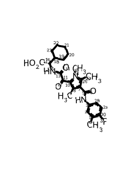 Cc1cc(NC(=O)c2c(C)c(C(=O)C(=O)N[C@H](C(=O)O)C3CCCCC3)n(C)c2C)ccc1F